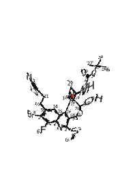 CSc1nc2c(F)c(Br)c(CCC#N)cc2c(C2C3CC(NC(=O)OC(C)(C)C)(C3)N2C(=O)O)c1I